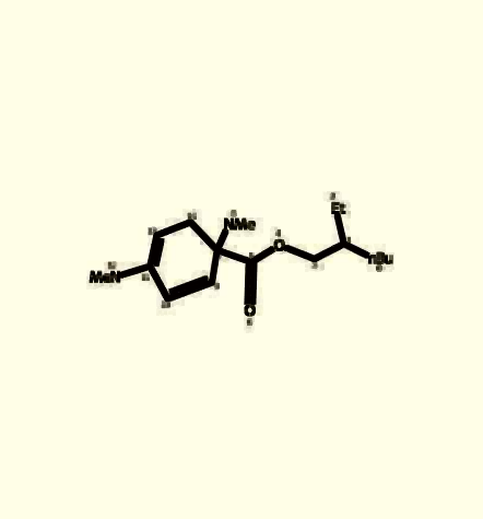 CCCCC(CC)COC(=O)C1(NC)C=CC(NC)=CC1